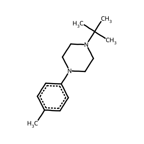 Cc1ccc(N2CCN(C(C)(C)C)CC2)cc1